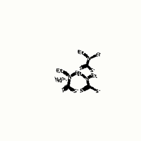 CCN(CC)C(=S)[S-].CCN(CC)C(=S)[S-].CCN(CC)C(=S)[S-].[Nd+3]